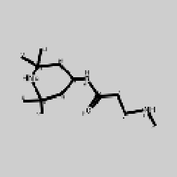 CNCCC(=O)NC1CC(C)(C)NC(C)(C)C1